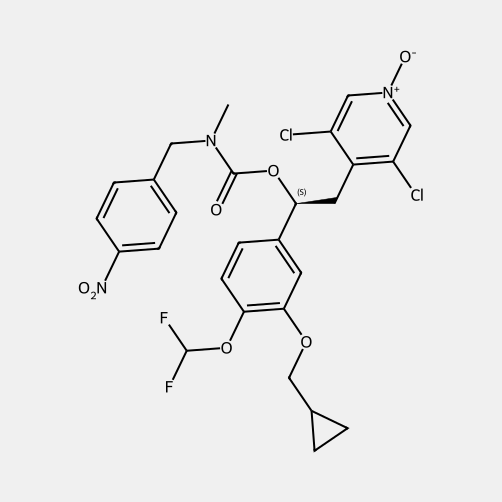 CN(Cc1ccc([N+](=O)[O-])cc1)C(=O)O[C@@H](Cc1c(Cl)c[n+]([O-])cc1Cl)c1ccc(OC(F)F)c(OCC2CC2)c1